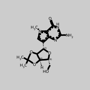 Cn1cc([C@@H]2O[C@H](CO)[C@H]3OC(C)(C)OC23)c2nc(N)[nH]c(=O)c21